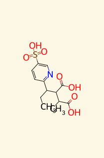 CCC(c1ccc(S(=O)(=O)O)cn1)C(C(=O)O)C(C)C(=O)O